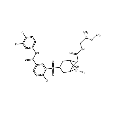 CO[C@@H](C)CNC(=O)C[C@@]1(O)C2CC(S(=O)(=O)c3cc(C(=O)Nc4ccc(F)c(F)c4)ccc3Cl)CC1[C@@H](C)C2